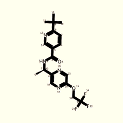 C[C@@H](NC(=O)c1ccc(C(C)(C)C)nc1)c1cnc(OCC(F)(F)F)cn1